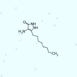 CCCCCCCCc1[nH][nH]c(=O)c1N